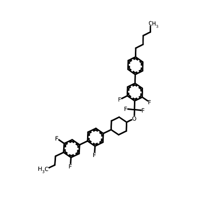 CCCCCc1ccc(-c2cc(F)c(C(F)(F)OC3CCC(c4ccc(-c5cc(F)c(CCC)c(F)c5)c(F)c4)CC3)c(F)c2)cc1